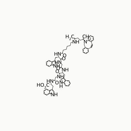 C=C(CCC(=C)N1Cc2ccccc2C#Cc2ccccc21)NCCCCCC(=O)N[C@H](Cc1c[nH]c2ccccc12)C(=O)NCC(=O)NC(Cc1c[nH]c2ccccc12)C(=O)NCC(=O)N[C@H](Cc1c[nH]c2ccccc12)C(=O)O